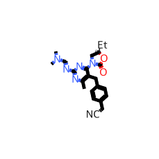 CC[C@H]1CN(c2nc(N=CN(C)C)nc(C)c2Cc2ccc(CC#N)cc2)C(=O)O1